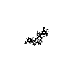 CC[C@H]1Cc2c(nn(C)c2-c2cc(F)c(F)c(F)c2)[C@@H](CC)N1C(=O)c1ncn(-c2cccc(F)c2)n1